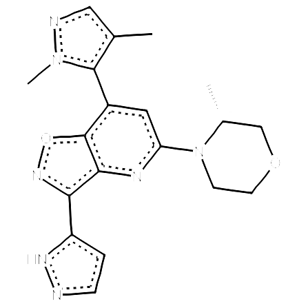 Cc1cnn(C)c1-c1cc(N2CCOC[C@H]2C)nc2c(-c3ccn[nH]3)noc12